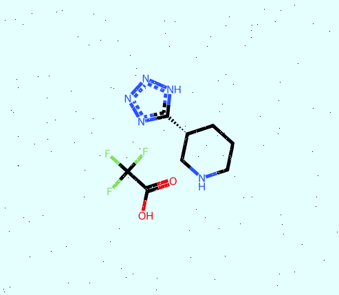 C1CNC[C@H](c2nnn[nH]2)C1.O=C(O)C(F)(F)F